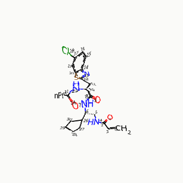 C=CC(=O)NC[C@@H](NC(=O)[C@H](Cc1nc2ccc(Cl)cc2s1)NC(=O)CCC)C1CCCC1